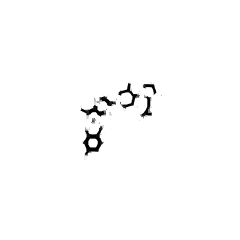 Cc1nn([C@H](C)c2ccc(Cl)cc2Cl)c2nc(N3CCC(N4CCC[C@H]4[C@@H]4CC4C(=O)O)C(C)C3)cnc12